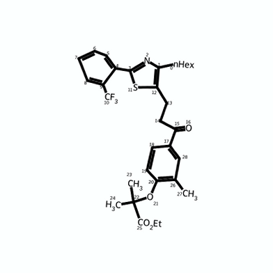 CCCCCCc1nc(-c2ccccc2C(F)(F)F)sc1CCC(=O)c1ccc(OC(C)(C)C(=O)OCC)c(C)c1